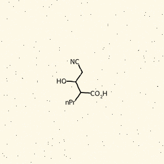 CCCC(C(=O)O)C(O)CC#N